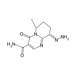 CC1CC/C(=N\N)c2ncc(C(N)=O)c(=O)n21